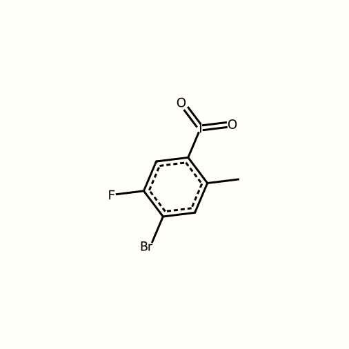 Cc1cc(Br)c(F)cc1I(=O)=O